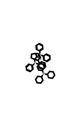 C1=CC(C2CCC(P(C3CCCCC3)C3CCCCC3)CC2)C2(P(c3ccccc3)c3ccccc3)CCC1[C@@H]2P(c1ccccc1)c1ccccc1